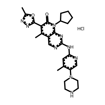 Cc1nnc(-c2c(C)c3cnc(Nc4cc(C)c(N5CCNCC5)cn4)nc3n(C3CCCC3)c2=O)o1.Cl